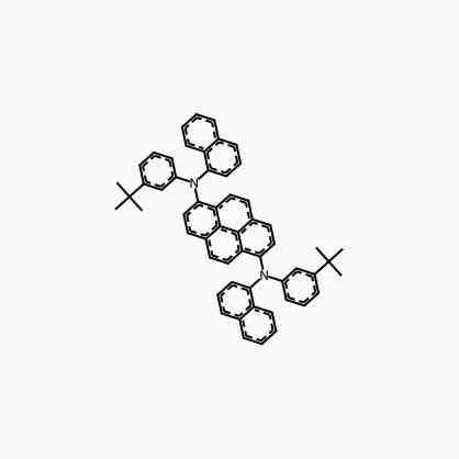 CC(C)(C)c1cccc(N(c2cccc3ccccc23)c2ccc3ccc4c(N(c5cccc(C(C)(C)C)c5)c5cccc6ccccc56)ccc5ccc2c3c54)c1